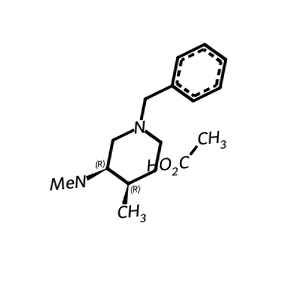 CC(=O)O.CN[C@H]1CN(Cc2ccccc2)CC[C@H]1C